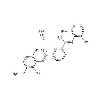 C=Cc1ccc(C(C)C)c(/N=C(\C)c2cccc(/C(C)=N/c3c(C(C)C)cccc3C(C)C)n2)c1C(C)C.[Cl-].[Cl-].[Fe+2]